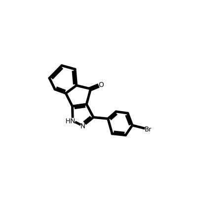 O=C1c2ccccc2-c2[nH]nc(-c3ccc(Br)cc3)c21